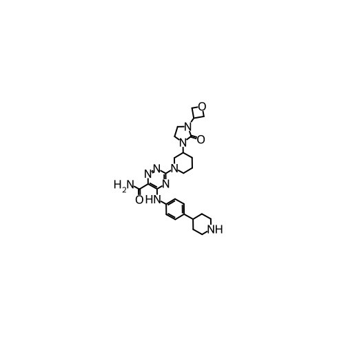 NC(=O)c1nnc(N2CCCC(N3CCN(C4COC4)C3=O)C2)nc1Nc1ccc(C2CCNCC2)cc1